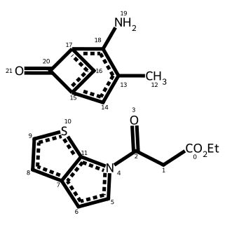 CCOC(=O)CC(=O)n1ccc2ccsc21.Cc1cc2cc(c1N)C2=O